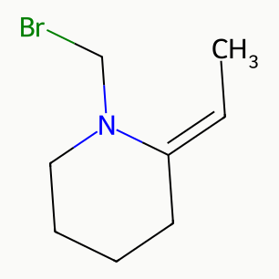 C/C=C1/CCCCN1CBr